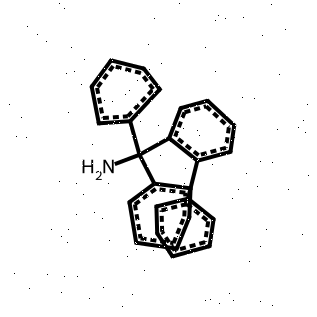 NC(c1ccccc1)(c1ccccc1)c1ccccc1-c1ccccc1